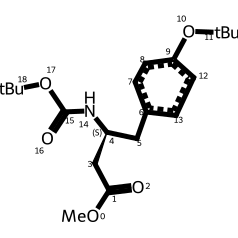 COC(=O)C[C@H](Cc1ccc(OC(C)(C)C)cc1)NC(=O)OC(C)(C)C